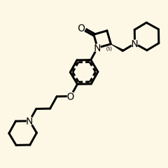 O=C1C[C@@H](CN2CCCCC2)N1c1ccc(OCCCN2CCCCC2)cc1